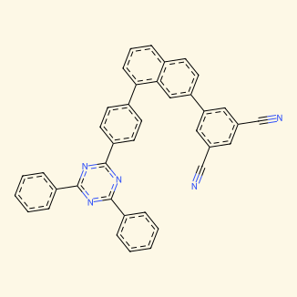 N#Cc1cc(C#N)cc(-c2ccc3cccc(-c4ccc(-c5nc(-c6ccccc6)nc(-c6ccccc6)n5)cc4)c3c2)c1